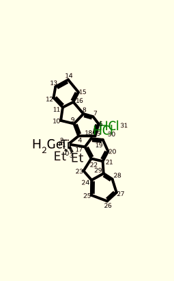 C[CH2][Ti](=[GeH2])([CH2]C)([c]1cccc2c1Cc1ccccc1-2)[c]1cccc2c1Cc1ccccc1-2.Cl.Cl